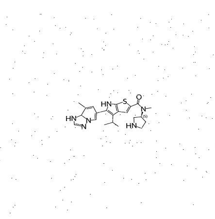 CC1=CC(c2[nH]c3sc(C(=O)N(C)[C@H]4CCNC4)cc3c2C(C)C)=CN2N=CNC12